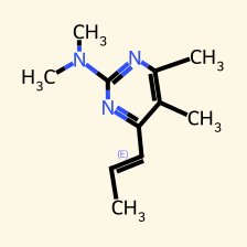 C/C=C/c1nc(N(C)C)nc(C)c1C